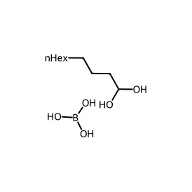 CCCCCCCCCC(O)O.OB(O)O